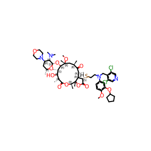 COc1ccc(N(CCS[C@@H]2C(=O)O[C@@]3(C)[C@H]2[C@@H](C)C(=O)[C@H](C)C[C@@](C)(OC)[C@H](O[C@@H]2O[C@H](C)C[C@@H](N4CCOCC4)[C@@H]2N(C)C)[C@@H](C)[C@H](O)[C@@H](C)C(=O)O[C@@H]3C)Cc2c(Cl)cncc2Cl)cc1OC1CCCC1